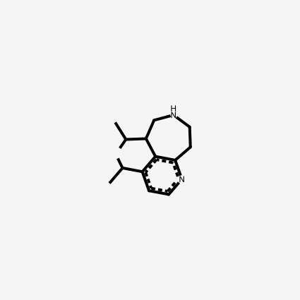 CC(C)c1ccnc2c1C(C(C)C)CNCC2